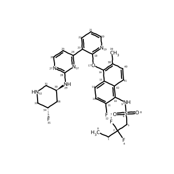 CCC(F)(F)CS(=O)(=O)Nc1c(F)ccc2c(Oc3ncccc3-c3ccnc(N[C@@H]4CNC[C@@H](F)C4)n3)c(C)ccc12